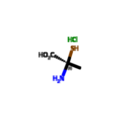 C[C@@](N)(S)C(=O)O.Cl